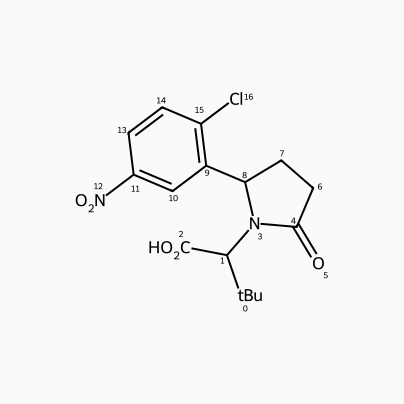 CC(C)(C)C(C(=O)O)N1C(=O)CCC1c1cc([N+](=O)[O-])ccc1Cl